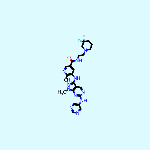 Cc1ncc(C(=O)NCCN2CCCC(F)(F)C2)cc1Nc1nn(C)c2nc(Nc3cncnc3)ncc12